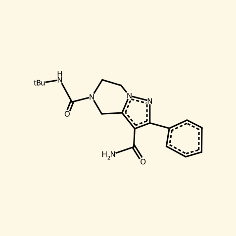 CC(C)(C)NC(=O)N1CCn2nc(-c3ccccc3)c(C(N)=O)c2C1